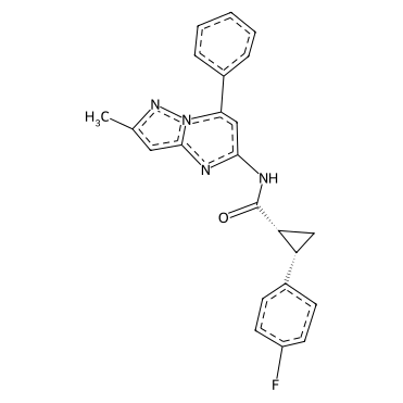 Cc1cc2nc(NC(=O)[C@@H]3C[C@@H]3c3ccc(F)cc3)cc(-c3ccccc3)n2n1